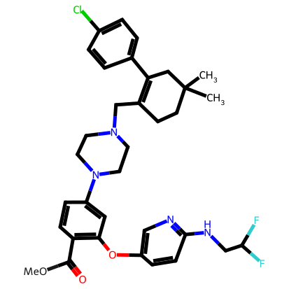 COC(=O)c1ccc(N2CCN(CC3=C(c4ccc(Cl)cc4)CC(C)(C)CC3)CC2)cc1Oc1ccc(NCC(F)F)nc1